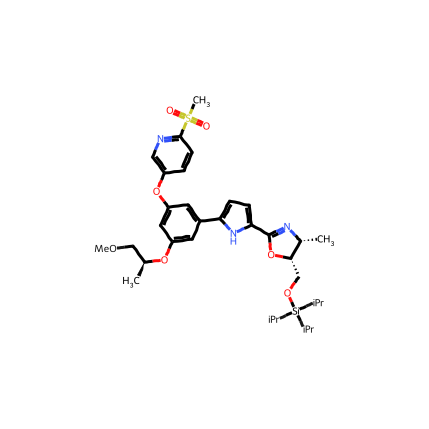 COC[C@H](C)Oc1cc(Oc2ccc(S(C)(=O)=O)nc2)cc(-c2ccc(C3=N[C@H](C)[C@H](CO[Si](C(C)C)(C(C)C)C(C)C)O3)[nH]2)c1